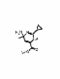 COC(=O)C1=CC(C)(N)N=C(C2CC2)N1